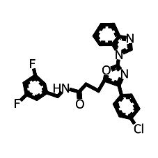 O=C(CCc1oc(-n2cnc3ccccc32)nc1-c1ccc(Cl)cc1)NCc1cc(F)cc(F)c1